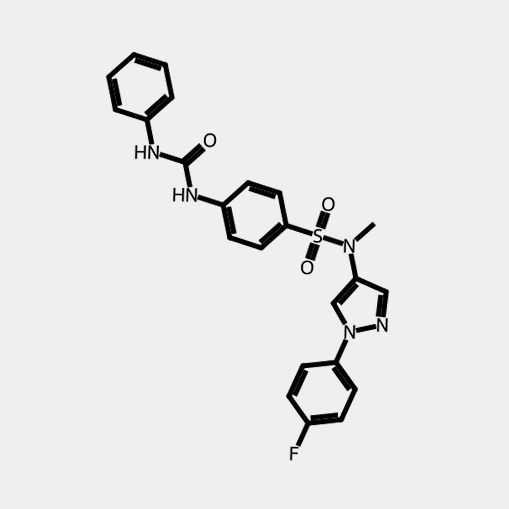 CN(c1cnn(-c2ccc(F)cc2)c1)S(=O)(=O)c1ccc(NC(=O)Nc2ccccc2)cc1